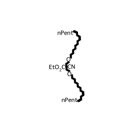 CCCCC/C=C\C/C=C\CCCCCCCCOCCC(C#N)(CCOCCCCCCCC/C=C\C/C=C\CCCCC)C(=O)OCC